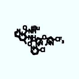 Cc1cc2ccnn2c(C(=O)NC(C)(C)C)c1NC(=O)c1cc(Oc2cc(C(F)(F)F)nn2C)nn1-c1ncccc1Cl